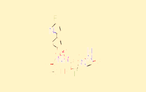 CC(C)OC(=O)[C@H](C)NP(=O)(OC[C@H]1O[C@@H](n2ccc(=O)[nH]c2=O)[C@](C)(F)[C@@H]1O)Oc1ccc(-c2ccc(F)cn2)cc1